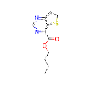 CCCCOC(=O)c1ncnc2ccsc12